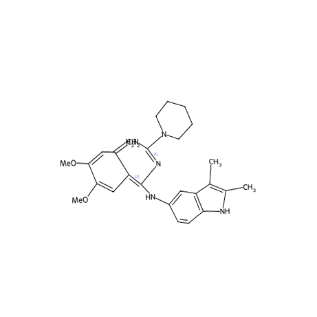 C=c1cc(OC)c(OC)c/c1=C(/N=C(\N)N1CCCCC1)Nc1ccc2[nH]c(C)c(C)c2c1